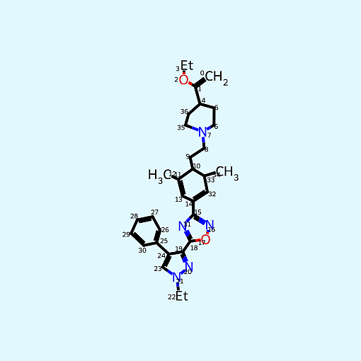 C=C(OCC)C1CCN(CCC2C(C)=CC(c3noc(-c4nn(CC)cc4-c4ccccc4)n3)=CC2C)CC1